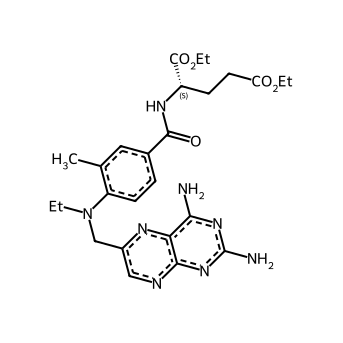 CCOC(=O)CC[C@H](NC(=O)c1ccc(N(CC)Cc2cnc3nc(N)nc(N)c3n2)c(C)c1)C(=O)OCC